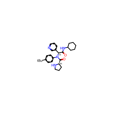 CC(C)(C)c1ccc(N(C(=O)[C@H]2CCCN2)[C@H](C(=O)NC2CCCCC2)c2cccnc2)cc1